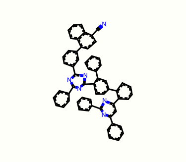 N#Cc1ccc(-c2cccc(-c3nc(-c4ccccc4)nc(-c4ccc(-c5ccccc5-c5cc(-c6ccccc6)nc(-c6ccccc6)n5)cc4-c4ccccc4)n3)c2)c2ccccc12